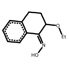 CCOC1CCc2ccccc2C1=NO